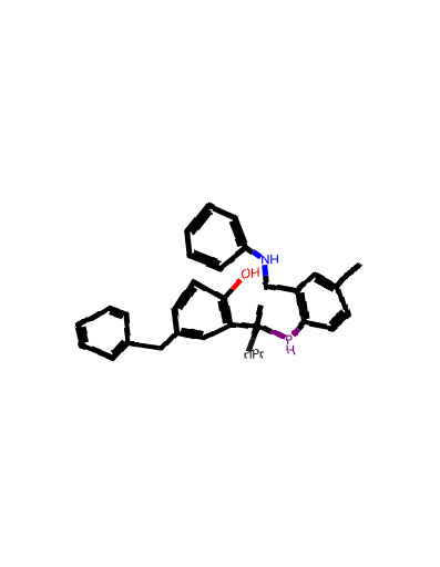 CCCC(C)(Pc1ccc(C)cc1CNc1ccccc1)c1cc(Cc2ccccc2)ccc1O